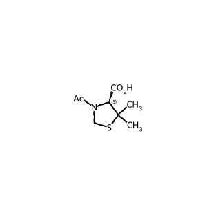 CC(=O)N1CSC(C)(C)[C@@H]1C(=O)O